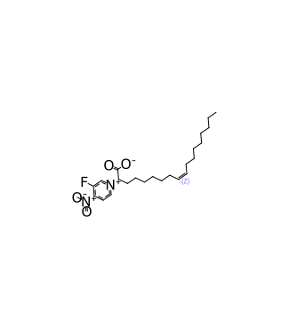 CCCCCCCC/C=C\CCCCCCC(C(=O)[O-])[n+]1ccc([N+](=O)[O-])c(F)c1